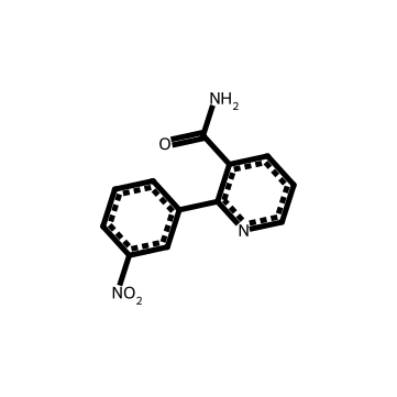 NC(=O)c1cccnc1-c1cccc([N+](=O)[O-])c1